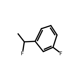 CC(F)c1cccc(F)c1